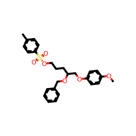 COc1ccc(OCC(CCCOS(=O)(=O)c2ccc(C)cc2)OCc2ccccc2)cc1